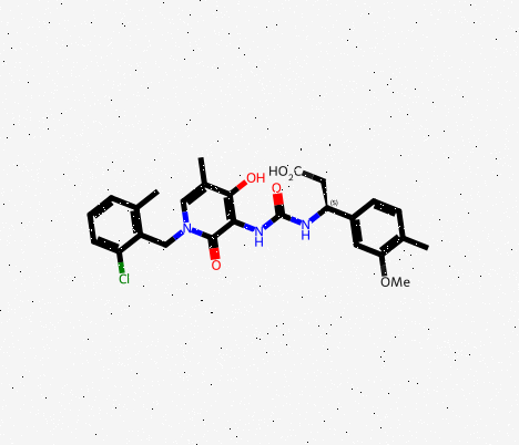 COc1cc([C@H](CC(=O)O)NC(=O)Nc2c(O)c(C)cn(Cc3c(C)cccc3Cl)c2=O)ccc1C